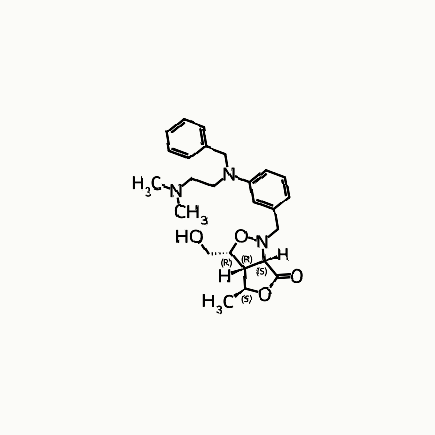 C[C@@H]1OC(=O)[C@@H]2[C@H]1[C@H](CO)ON2Cc1cccc(N(CCN(C)C)Cc2ccccc2)c1